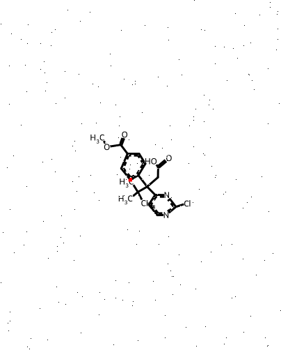 COC(=O)c1ccc(C(CC(=O)O)(c2ccnc(Cl)n2)C(C)(C)C)cc1